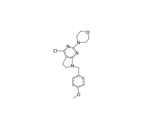 COc1ccc(CN2CCc3c(Cl)nc(N4CCOCC4)nc32)cc1